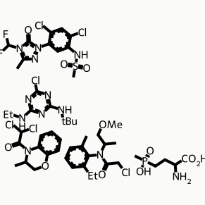 CC1COc2ccccc2N1C(=O)C(Cl)Cl.CCNc1nc(Cl)nc(NC(C)(C)C)n1.CCc1cccc(C)c1N(C(=O)CCl)C(C)COC.CP(=O)(O)CCC(N)C(=O)O.Cc1nn(-c2cc(NS(C)(=O)=O)c(Cl)cc2Cl)c(=O)n1C(F)F